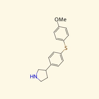 COc1ccc(Sc2ccc(C3CCNC3)cc2)cc1